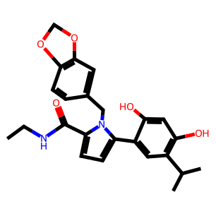 CCNC(=O)c1ccc(-c2cc(C(C)C)c(O)cc2O)n1Cc1ccc2c(c1)OCO2